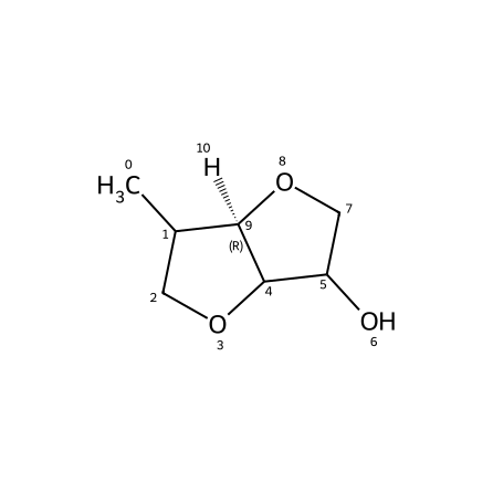 CC1COC2C(O)CO[C@H]12